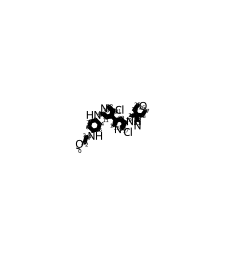 COCCN[C@H]1CC[C@H](Nc2cc(-c3cnc(Cl)c(NCC4(C#N)CCOCC4)c3)c(Cl)cn2)CC1